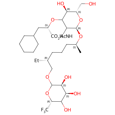 CC[C@H](CCC[C@H](C)O[C@@H]1O[C@@H](CO)[C@H](O)C(O[C@@H](CC2CCCCC2)C(=O)O)C1NC(C)=O)COC1O[C@@H](C(F)(F)F)C(O)[C@H](O)[C@@H]1O